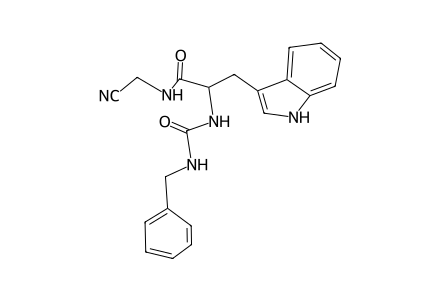 N#CCNC(=O)C(Cc1c[nH]c2ccccc12)NC(=O)NCc1ccccc1